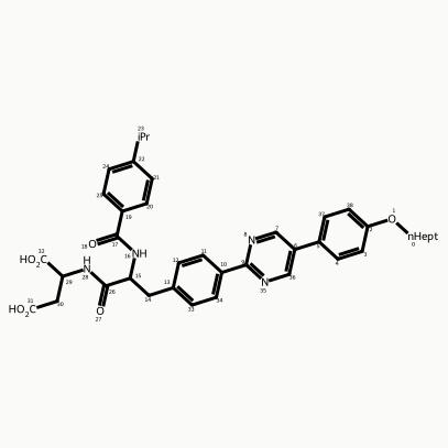 CCCCCCCOc1ccc(-c2cnc(-c3ccc(CC(NC(=O)c4ccc(C(C)C)cc4)C(=O)NC(CC(=O)O)C(=O)O)cc3)nc2)cc1